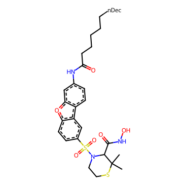 CCCCCCCCCCCCCCCC(=O)Nc1ccc2c(c1)oc1ccc(S(=O)(=O)N3CCSC(C)(C)C3C(=O)NO)cc12